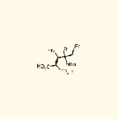 CCCCC(=C(C(=O)O)C(=O)O)C(CCCC)(CC(C)C)C(C)C